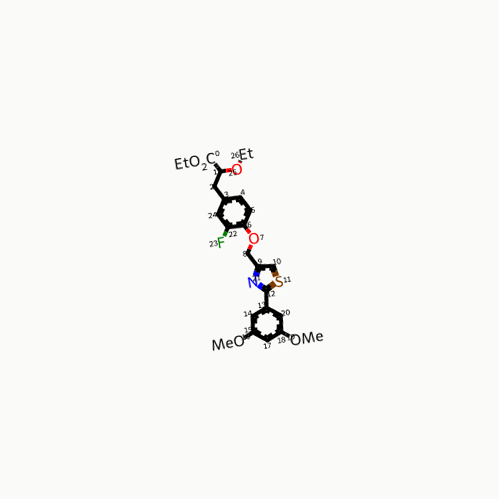 CCOC(=O)C(Cc1ccc(OCc2csc(-c3cc(OC)cc(OC)c3)n2)c(F)c1)OCC